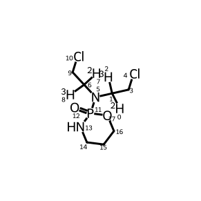 [2H]C([3H])(CCl)N(C([2H])([3H])CCl)P1(=O)NCCCO1